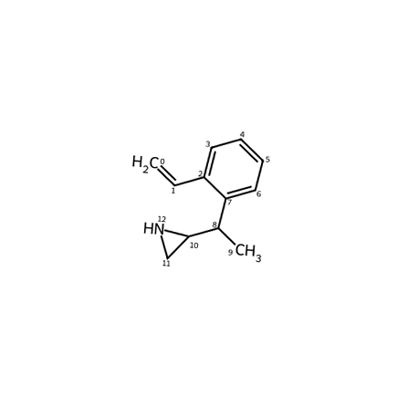 C=Cc1ccccc1C(C)C1CN1